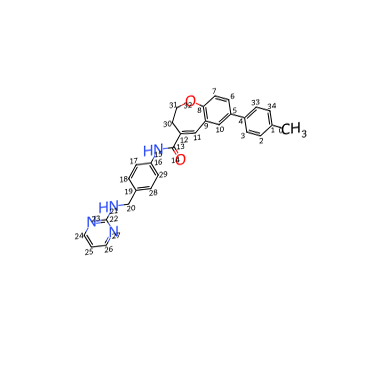 Cc1ccc(-c2ccc3c(c2)C=C(C(=O)Nc2ccc(CNc4ncccn4)cc2)CCO3)cc1